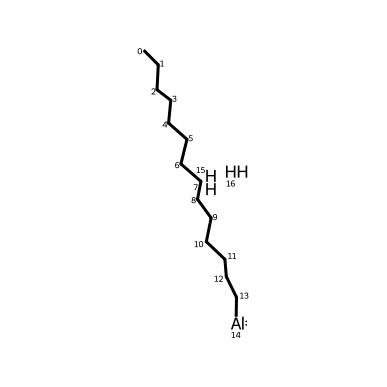 CCCCCCCCCCCCC[CH2][Al].[HH].[HH]